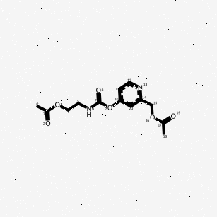 CC(=O)OCCNC(=O)Oc1ccnc(COC(C)=O)c1